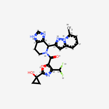 O=C(c1oc(C2(O)CC2)nc1C(F)F)N1CCc2[nH]cnc2C1c1cc2cccc(C(F)(F)F)n2n1